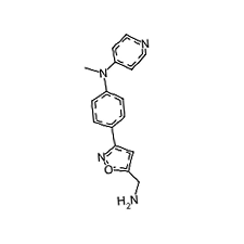 CN(c1ccncc1)c1ccc(-c2cc(CN)on2)cc1